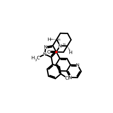 Cn1nc2c(c1-c1cccc(Cl)c1)C[C@@H]1CCC[C@H]2N1C(=O)c1ccc2nccnc2c1